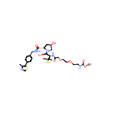 Cc1ncsc1-c1ccc(CNC(=O)[C@@H]2C[C@@H](O)CN2C(=O)[C@@H](NC(=O)COCCOCCNC(=O)OC(C)(C)C)C(C)(C)S)cc1